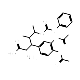 CC(=O)Oc1ccc(C(C(C)C(C)OC(=O)Oc2ccccc2)[C@H](N)C(=O)O)cc1OC(C)=O